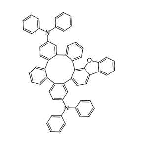 c1ccc(N(c2ccccc2)c2ccc3c4ccccc4c4ccc(N(c5ccccc5)c5ccccc5)cc4c4ccc5c6ccccc6oc5c4c4ccccc4c3c2)cc1